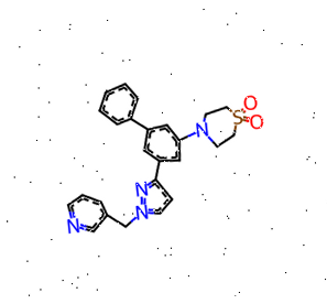 O=S1(=O)CCN(c2cc(-c3ccccc3)cc(-c3ccn(Cc4cccnc4)n3)c2)CC1